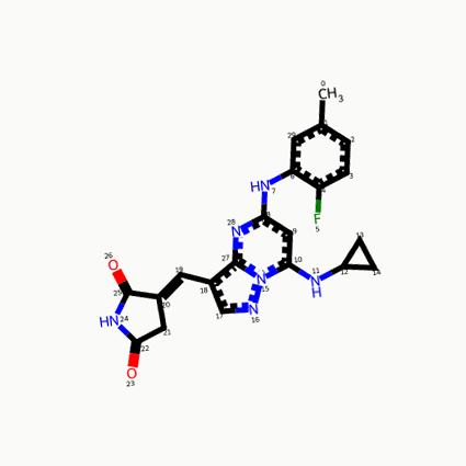 Cc1ccc(F)c(Nc2cc(NC3CC3)n3ncc(C=C4CC(=O)NC4=O)c3n2)c1